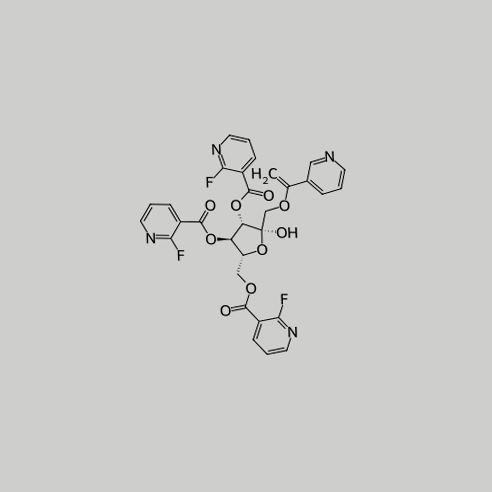 C=C(OC[C@@]1(O)O[C@H](COC(=O)c2cccnc2F)[C@@H](OC(=O)c2cccnc2F)[C@@H]1OC(=O)c1cccnc1F)c1cccnc1